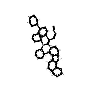 C=C/C=C\C(=C(/C)N(c1ccccc1)c1ccccc1-c1cccc2oc3c4ccccc4ccc3c12)c1ccc(-c2ccccc2)cc1